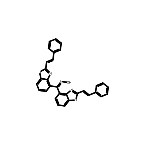 ON=C(c1cccc2oc(C=Cc3ccccc3)nc12)c1cccc2oc(C=Cc3ccccc3)nc12